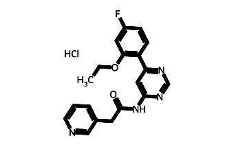 CCOc1cc(F)ccc1-c1cc(NC(=O)Cc2cccnc2)ncn1.Cl